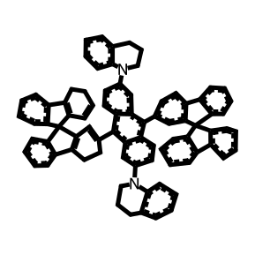 C1=CC2=C(CC1)c1ccccc1C21C2=C(CCC(c3c4cc(N5CCCc6ccccc65)ccc4c(-c4ccc5c(c4)C4(c6ccccc6-c6ccccc64)c4ccccc4-5)c4cc(N5CCCc6ccccc65)ccc34)=C2)c2ccccc21